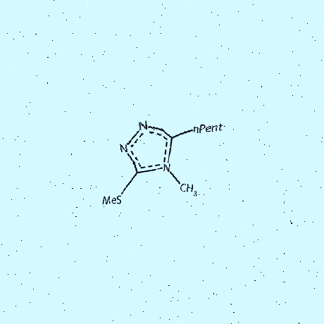 CCCC[CH]c1nnc(SC)n1C